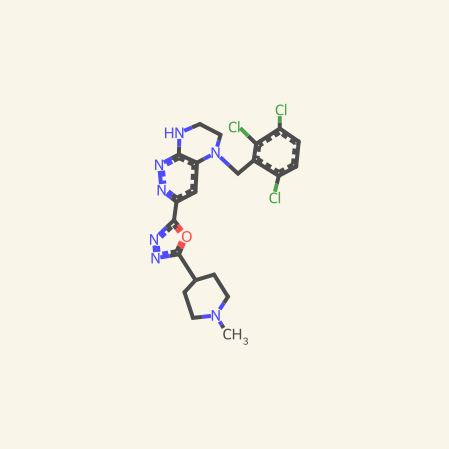 CN1CCC(c2nnc(-c3cc4c(nn3)NCCN4Cc3c(Cl)ccc(Cl)c3Cl)o2)CC1